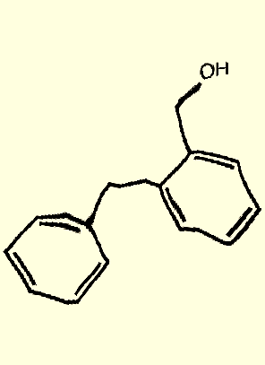 OCc1ccccc1Cc1ccccc1